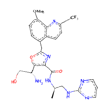 COc1ccc(-c2nc(C(=O)N[C@H](C)CNc3ncccn3)c([C@H](N)CO)o2)c2ccc(C(F)(F)F)nc12